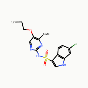 COc1nc(NS(=O)(=O)c2c[nH]c3cc(Cl)ccc23)ncc1OCCC(F)(F)F